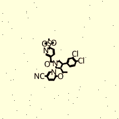 CC(Oc1ccc(C#N)cn1)C1CN(C(=O)c2ccc(S(C)(=O)=O)nc2)CC1c1ccc(Cl)c(Cl)c1